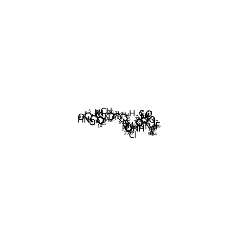 Cn1nc(C2CCC(=O)NC2=O)c2cccc(N3CCC(CN4CCCN(c5ncc(Cl)c(Nc6ccc7c(c6)c6c(c(=O)n7C)OCC(F)(F)C(C7CC7)N6)n5)CC4)CC3)c21